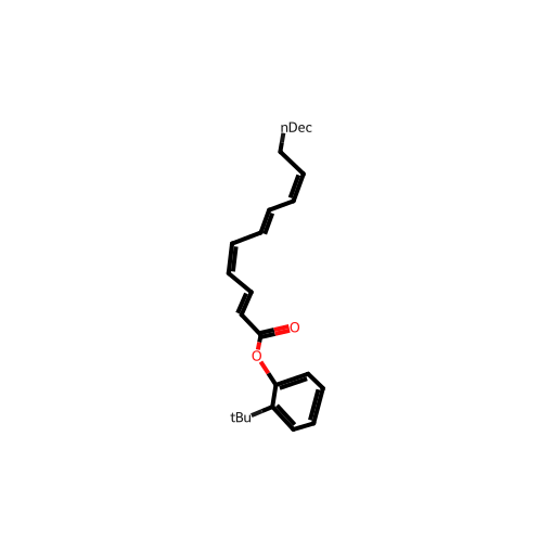 CCCCCCCCCCC\C=C/C=C/C=C\C=C\C(=O)Oc1ccccc1C(C)(C)C